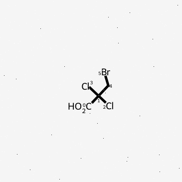 O=C(O)C(Cl)(Cl)CBr